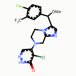 COC(c1ccc(F)c(C(F)(F)F)c1)c1cnc2n1CCN(c1cn[nH]c(=O)c1Cl)C2